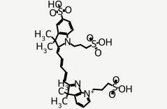 CC1(C)C(/C=C/C=C/C=C2\N(CCCS(=O)(=O)O)c3ccc(S(=O)(=O)O)cc3C2(C)C)=Nc2c1ccc[n+]2CCCS(=O)(=O)O